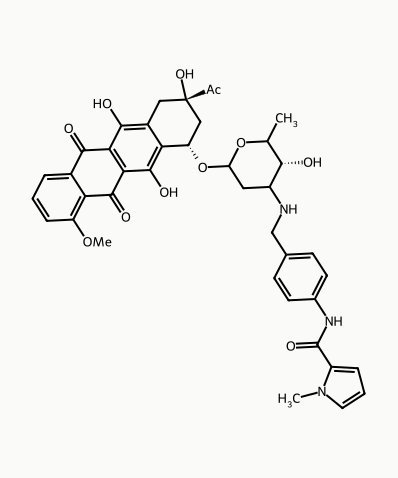 COc1cccc2c1C(=O)c1c(O)c3c(c(O)c1C2=O)C[C@@](O)(C(C)=O)C[C@@H]3OC1CC(NCc2ccc(NC(=O)c3cccn3C)cc2)[C@@H](O)C(C)O1